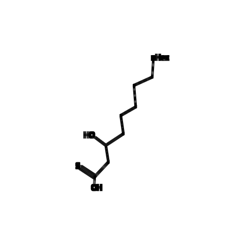 CCCCCCCCCCCC(O)CC(O)=S